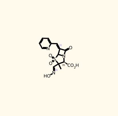 CC1(/C=N/O)[C@H](C(=O)O)N2C(=O)/C(=C/c3ccccn3)C2S1(=O)=O